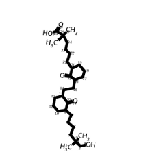 CC(C)(CO)CCCCC1CCCC(CCC2CCCC(CCCCC(C)(C)C(=O)O)C2=O)C1=O